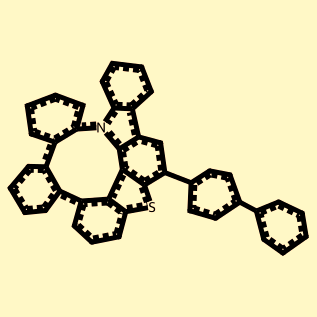 c1ccc(-c2ccc(-c3cc4c5ccccc5n5c6ccccc6c6ccccc6c6cccc7sc3c(c76)c45)cc2)cc1